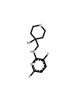 CCC1(CNc2nc(F)ccc2F)CCOCC1